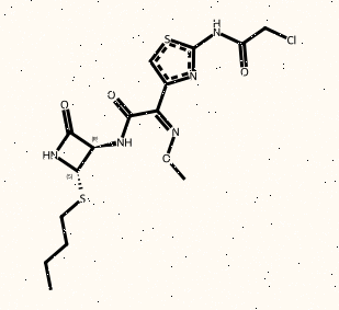 CCCCS[C@@H]1NC(=O)[C@H]1NC(=O)C(=NOC)c1csc(NC(=O)CCl)n1